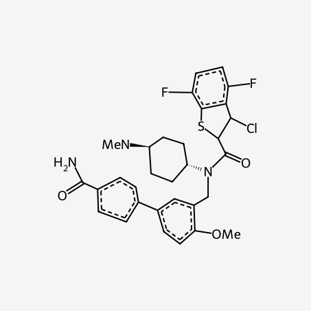 CN[C@H]1CC[C@H](N(Cc2cc(-c3ccc(C(N)=O)cc3)ccc2OC)C(=O)C2Sc3c(F)ccc(F)c3C2Cl)CC1